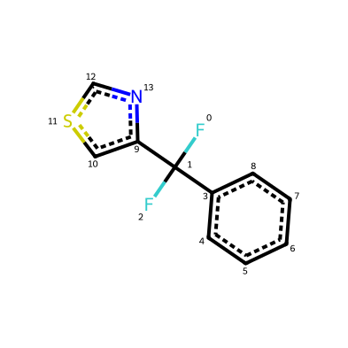 FC(F)(c1ccccc1)c1cs[c]n1